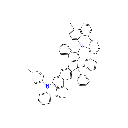 Cc1ccc(N(c2ccc3cc4c(cc3c2)-c2c(cc(N(c3ccc(C)cc3)c3ccccc3-c3ccccc3)c3ccccc23)C4(c2ccccc2)c2ccccc2)c2ccccc2-c2ccccc2)cc1